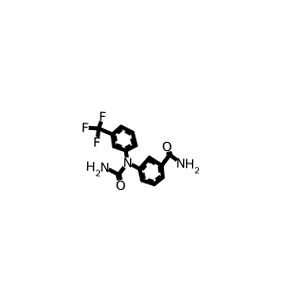 NC(=O)c1cccc(N(C(N)=O)c2cccc(C(F)(F)F)c2)c1